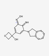 N=C1C(N2Cc3ccccc3C2)=CC(C2(O)COC2)=C/C1=N/O